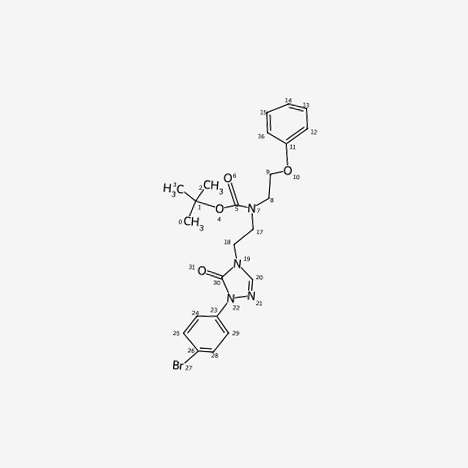 CC(C)(C)OC(=O)N(CCOc1ccccc1)CCn1cnn(-c2ccc(Br)cc2)c1=O